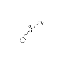 [CH2]CCCC(=O)OCCCC1CCCCC1